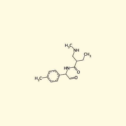 CCC(CNC)C(=O)NC(C=O)c1ccc(C)cc1